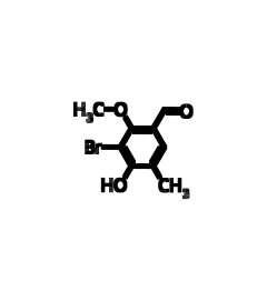 COc1c(C=O)cc(C)c(O)c1Br